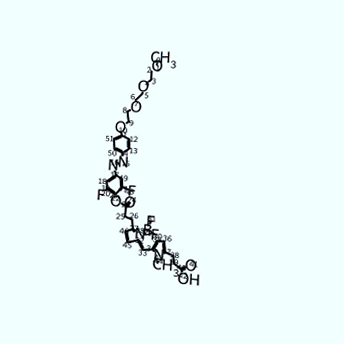 COCCOCCOCCOc1ccc(/N=N/c2cc(F)c(OC(=O)CCC3=[N+](B(F)F)/C(=C\c4ccc(CCC(=O)O)n4C)C=C3)c(F)c2)cc1